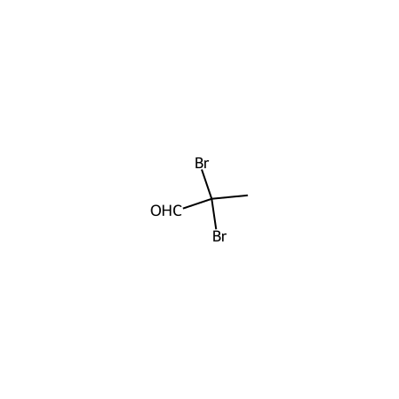 CC(Br)(Br)C=O